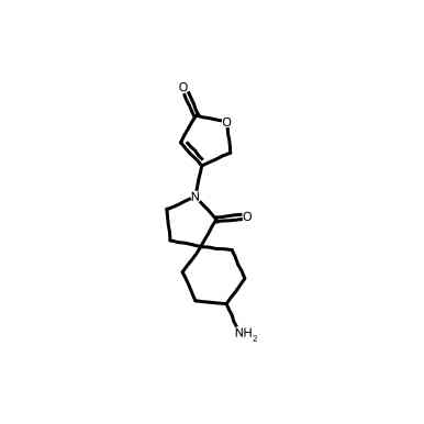 NC1CCC2(CC1)CCN(C1=CC(=O)OC1)C2=O